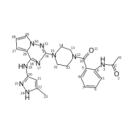 CC(=O)Nc1ccccc1C(=O)N1CCN(c2nc(Nc3cc(C)[nH]n3)c3cccn3n2)CC1